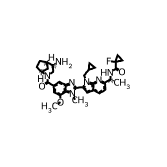 COc1cc(C(=O)N2C[C@H](N)[C@@H]3CC[C@H]2C3)cc2nc(-c3cc4ccc([C@@H](C)NC(=O)C5(F)CC5)nc4n3CC3CC3)n(C)c12